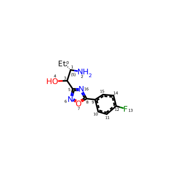 CC[C@H](N)C(O)c1noc(-c2ccc(F)cc2)n1